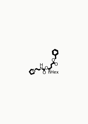 CCCCCC[C@H](CCC(=O)OCc1ccccc1)OC(=O)NCCN1CCCC1